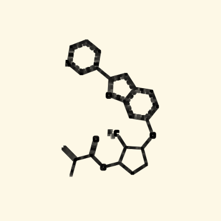 C=C(C)C(=O)OC1CCC(Oc2ccc3cc(-c4cccnc4)oc3c2)C1C(F)(F)F